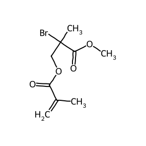 C=C(C)C(=O)OCC(C)(Br)C(=O)OC